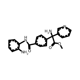 COC(=O)C(N)(c1ccc(C(=O)Nc2ccccc2N)cc1)c1cccnc1